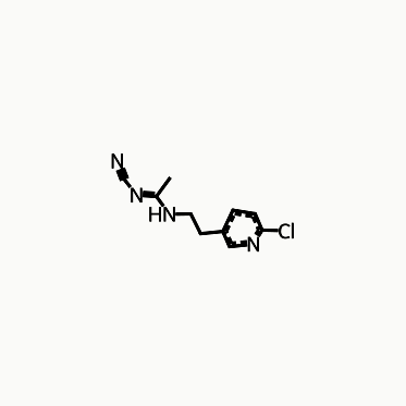 C/C(=N\C#N)NCCc1ccc(Cl)nc1